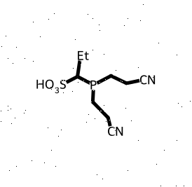 CCC(P(CCC#N)CCC#N)S(=O)(=O)O